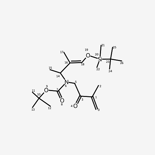 C=C(C)C(=O)CN(C(=O)OC(C)(C)C)C(C)C(C)=CO[Si](C)(C)C(C)(C)C